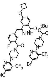 CC(C)(C)OC(=O)N1CCN(c2ncc(Br)cc2C(F)(F)F)CC1.N#Cc1cnc(N2CCN(C(=O)c3cc(Cc4n[nH]c(=O)c5ccc(OC6CCC6)cc45)ccc3F)CC2)c(C(F)(F)F)c1